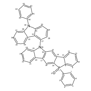 O=P1(c2ccccc2)c2ccccc2-c2cc3c(cc21)c1ccccc1n3-c1cccc2c1c1ccccc1n2-c1ccccc1